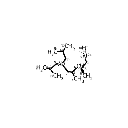 C=C[CH2][Al+2].CC(C)[CH2][Al]([CH2]C(C)C)[CH2]C(C)C.[H-].[H-]